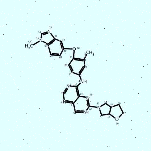 Cc1cc(Nc2ncnc3cnc(N4CC5CCOC5C4)nc23)ccc1Oc1ccc2c(c1)ncn2C